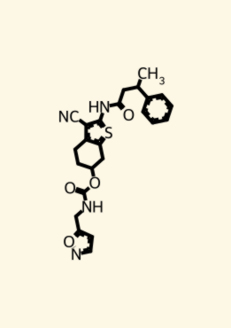 CC(CC(=O)Nc1sc2c(c1C#N)CCC(OC(=O)NCc1ccno1)C2)c1ccccc1